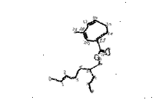 CCCCCC(CCC)COC(=O)C1=CCC=CC(C)=C1